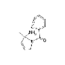 CC1(N)C=CCN1C(=O)c1ccccc1